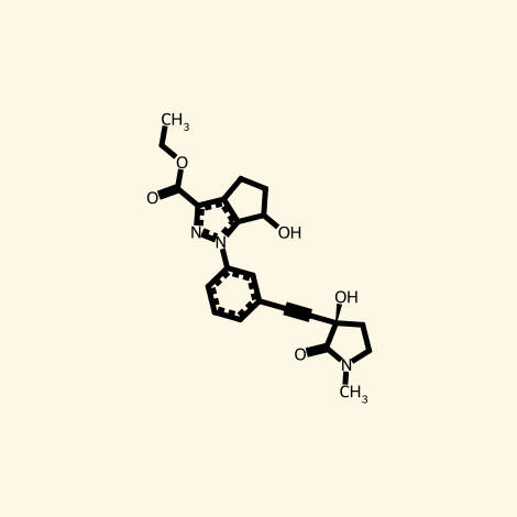 CCOC(=O)c1nn(-c2cccc(C#C[C@]3(O)CCN(C)C3=O)c2)c2c1CCC2O